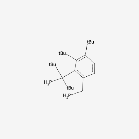 CC(C)(C)c1ccc(CP)c(C(P)(C(C)(C)C)C(C)(C)C)c1C(C)(C)C